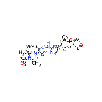 COc1nc(Nc2nccc(-c3ccc(OC4CCOCC4)c(C#N)c3)n2)ccc1N1CC(C)N(C2COC2)C(C)C1